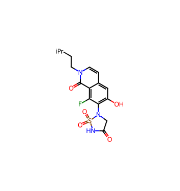 CC(C)CCn1ccc2cc(O)c(N3CC(=O)NS3(=O)=O)c(F)c2c1=O